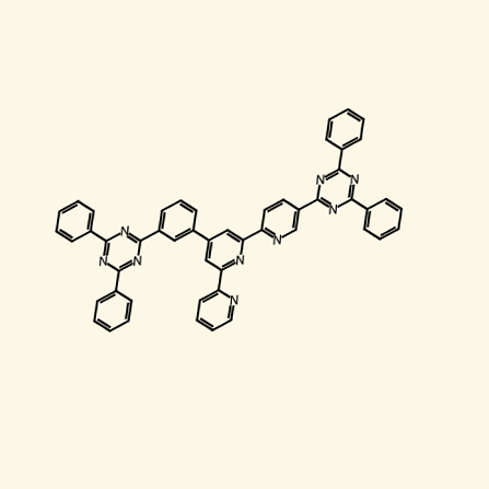 c1ccc(-c2nc(-c3ccccc3)nc(-c3ccc(-c4cc(-c5cccc(-c6nc(-c7ccccc7)nc(-c7ccccc7)n6)c5)cc(-c5ccccn5)n4)nc3)n2)cc1